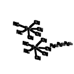 N#[C][Fe-3]([C]#N)([C]#N)([C]#N)([C]#N)[C]#N.N#[C][Fe-3]([C]#N)([C]#N)([C]#N)([C]#N)[C]#N.[Pd+2].[Pd+2].[Pd+2]